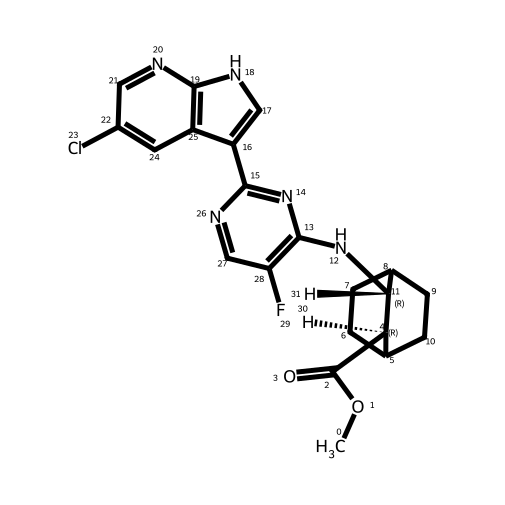 COC(=O)[C@@H]1C2CCC(CC2)[C@H]1Nc1nc(-c2c[nH]c3ncc(Cl)cc23)ncc1F